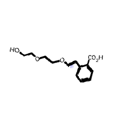 O=C(O)c1ccccc1/C=C/OCCOCCO